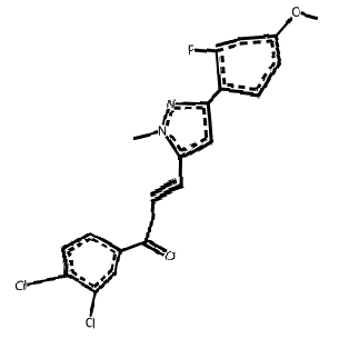 COc1ccc(-c2cc(/C=C/C(=O)c3ccc(Cl)c(Cl)c3)n(C)n2)c(F)c1